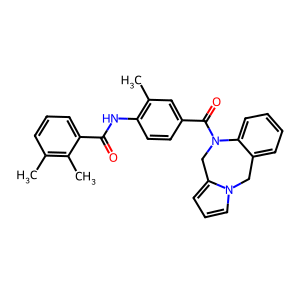 Cc1cc(C(=O)N2Cc3cccn3Cc3ccccc32)ccc1NC(=O)c1cccc(C)c1C